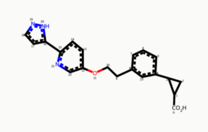 O=C(O)C1CC1c1cccc(CCOc2ccc(-c3ccn[nH]3)nc2)c1